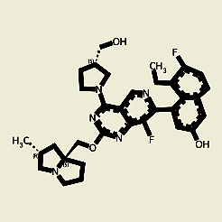 CCc1c(F)ccc2cc(O)cc(-c3ncc4c(N5CC[C@H](CO)C5)nc(OC[C@@]56CCCN5C[C@H](C)C6)nc4c3F)c12